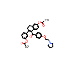 CCCCC(=O)Oc1cccc(C2=C(C(=O)c3ccc(OCCN4CCCC4)cc3)c3ccc(OC(=O)CCCC)cc3CC2)c1